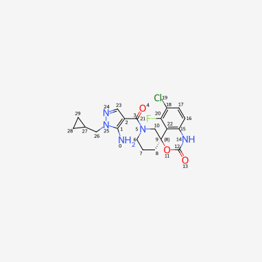 Nc1c(C(=O)N2CCC[C@@]3(C2)OC(=O)Nc2ccc(Cl)c(F)c23)cnn1CC1CC1